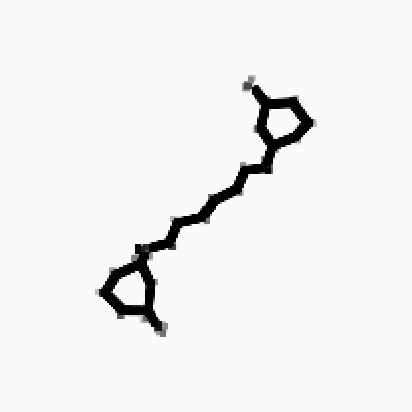 CC(C)C1CCCC(NCCCCCCNC2CCCC(C(C)C)C2)C1